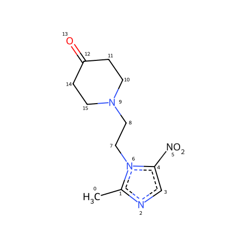 Cc1ncc([N+](=O)[O-])n1CCN1CCC(=O)CC1